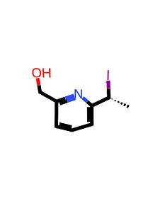 C[C@@H](I)c1cccc(CO)n1